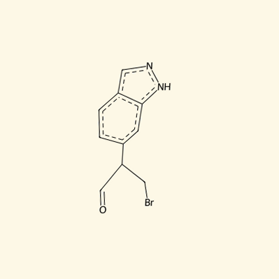 O=CC(CBr)c1ccc2cn[nH]c2c1